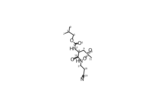 CC(C)COC(=O)NC(CS(C)(=O)=O)C(=O)NCCC#N